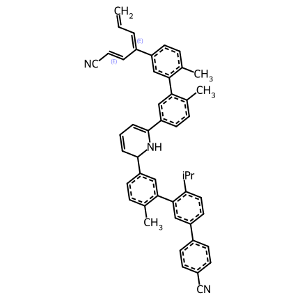 C=C/C=C(\C=C\C#N)c1ccc(C)c(-c2cc(C3=CC=CC(c4ccc(C)c(-c5cc(-c6ccc(C#N)cc6)ccc5C(C)C)c4)N3)ccc2C)c1